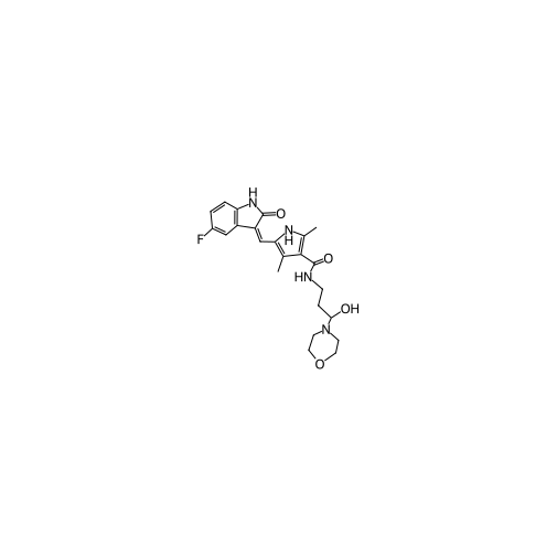 Cc1[nH]c(C=C2C(=O)Nc3ccc(F)cc32)c(C)c1C(=O)NCCC(O)N1CCOCC1